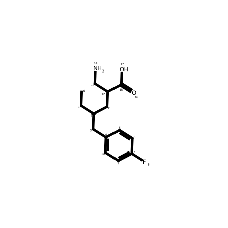 CCC(Cc1ccc(F)cc1)CC(CN)C(=O)O